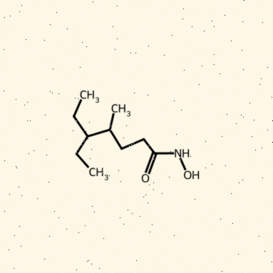 CC[C](CC)C(C)CCC(=O)NO